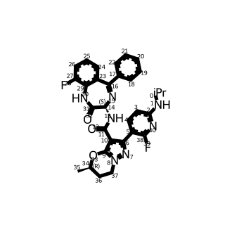 CC(C)Nc1ccc(-c2nn3c(c2C(=O)N[C@H]2N=C(c4ccccc4)c4cccc(F)c4NC2=O)O[C@H](C)CC3)c(F)n1